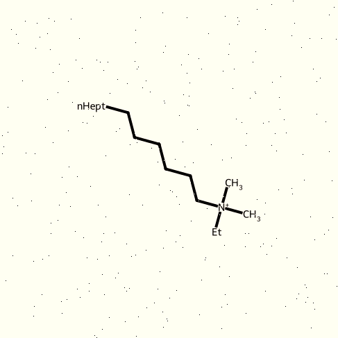 CCCCCCCCCCCCC[N+](C)(C)CC